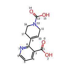 O=C(O)c1cccnc1C1=CCN(C(=O)O)CC1